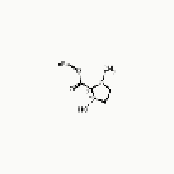 CCCCOC(=O)[C@@H]1[C@@H](O)CCN1C